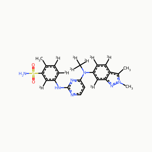 [2H]c1c([2H])c(Nc2nccc(N(c3c([2H])c([2H])c4c(C)n(C)nc4c3[2H])C([2H])([2H])[2H])n2)c([2H])c(S(N)(=O)=O)c1C